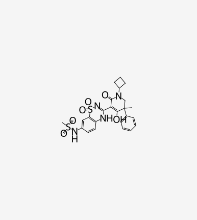 CC1(c2ccccc2)CN(C2CCC2)C(=O)C(C2=NS(=O)(=O)c3cc(NS(C)(=O)=O)ccc3N2)=C1O